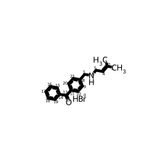 Br.CC(C)=CCNCc1ccc(C(=O)c2ccccc2)cc1